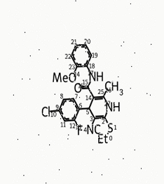 CCSC1=C(C#N)C(c2ccc(Cl)cc2F)C(C(=O)Nc2ccccc2OC)=C(C)N1